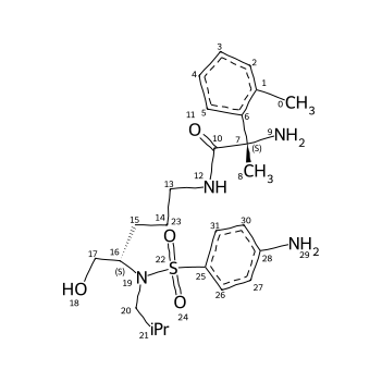 Cc1ccccc1[C@](C)(N)C(=O)NCCC[C@@H](CO)N(CC(C)C)S(=O)(=O)c1ccc(N)cc1